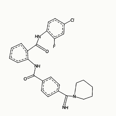 N=C(c1ccc(C(=O)Nc2ccccc2C(=O)Nc2ccc(Cl)cc2F)cc1)N1CCCCC1